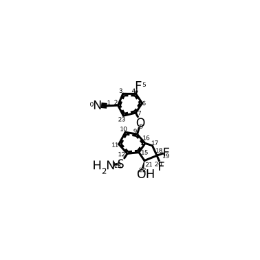 N#Cc1cc(F)cc(Oc2ccc(SN)c3c2CC(F)(F)[C@H]3O)c1